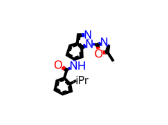 Cc1cnc(-n2ncc3ccc(NC(=O)c4ccccc4C(C)C)cc32)o1